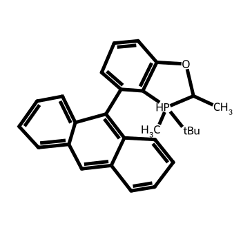 CC1Oc2cccc(-c3c4ccccc4cc4ccccc34)c2[PH]1(C)C(C)(C)C